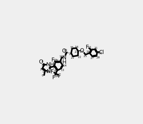 Cc1cc(=O)[nH]c(-c2c(C(F)(F)F)ccc(CNC(=O)[C@H]3CC[C@H](OCc4ccc(Cl)cc4F)CC3)c2F)n1